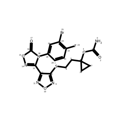 NC(=O)OC1(CCSc2nonc2-c2noc(=O)n2-c2ccc(F)c(Br)c2)CC1